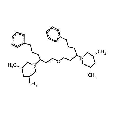 C[C@@H]1C[C@H](C)CN(C(CCCc2ccccc2)CCOCCC(CCCc2ccccc2)N2C[C@H](C)C[C@H](C)C2)C1